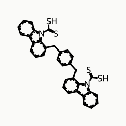 S=C(S)n1c2ccccc2c2cccc(Cc3ccc(Cc4cccc5c6ccccc6n(C(=S)S)c45)cc3)c21